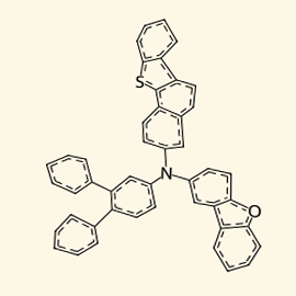 c1ccc(-c2ccc(N(c3ccc4c(ccc5c6ccccc6sc45)c3)c3ccc4oc5ccccc5c4c3)cc2-c2ccccc2)cc1